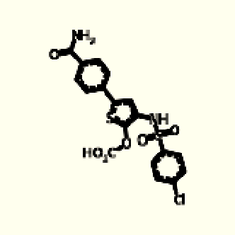 NC(=O)c1ccc(-c2cc(NS(=O)(=O)c3ccc(Cl)cc3)c(OC(=O)O)s2)cc1